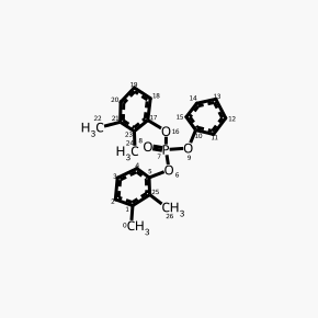 Cc1cccc(OP(=O)(Oc2ccccc2)Oc2cccc(C)c2C)c1C